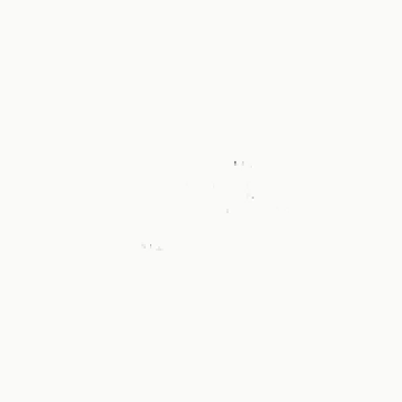 COC(=O)C1(NC(C)C)COCC(OC)C1